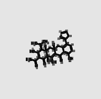 CN(C)[C@@H]1C(O)=C(C(N)=O)C(=O)[C@@]2(O)C(O)=C3C(=O)c4c(O)ccc(C5=NC=CC5)c4C[C@H]3C[C@@H]12